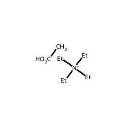 CC(=O)O.CC[N+](CC)(CC)CC